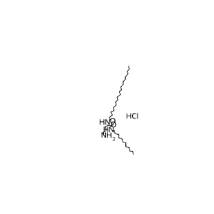 CCCCCCCCCCCCCCCCCCCCCC(=O)NC(CCCN)C(=O)NCCCCCCCCCCCC.Cl